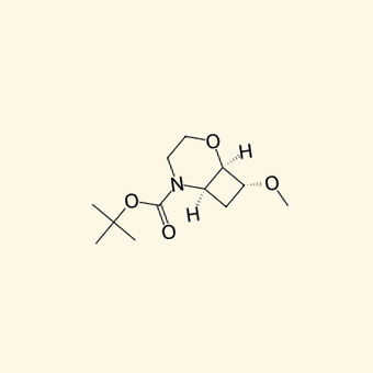 CO[C@@H]1C[C@@H]2[C@H]1OCCN2C(=O)OC(C)(C)C